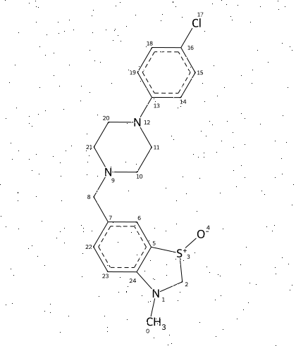 CN1C[S+]([O-])c2cc(CN3CCN(c4ccc(Cl)cc4)CC3)ccc21